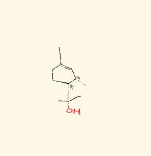 CC1=C[C@H](C)[C@H](C(C)(C)O)CC1